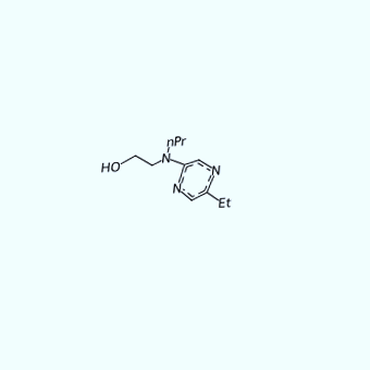 CCCN(CCO)c1cnc(CC)cn1